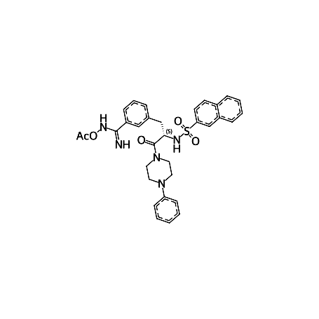 CC(=O)ONC(=N)c1cccc(C[C@H](NS(=O)(=O)c2ccc3ccccc3c2)C(=O)N2CCN(c3ccccc3)CC2)c1